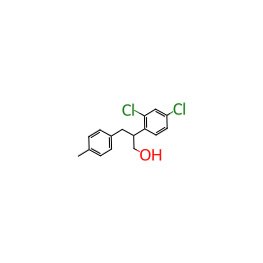 Cc1ccc(CC(CO)c2ccc(Cl)cc2Cl)cc1